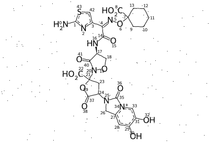 Nc1nc(/C(=N/OC2(C(=O)O)CCCCC2)C(=O)N[C@H]2CON(C3(C(=O)O)CC(N4Cc5cc(O)c(O)c[n+]5C4=O)C(=O)O3)C2=O)cs1